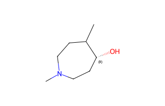 CC1CCN(C)CC[C@H]1O